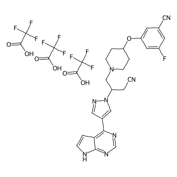 N#CCC(CN1CCC(Oc2cc(F)cc(C#N)c2)CC1)n1cc(-c2ncnc3[nH]ccc23)cn1.O=C(O)C(F)(F)F.O=C(O)C(F)(F)F.O=C(O)C(F)(F)F